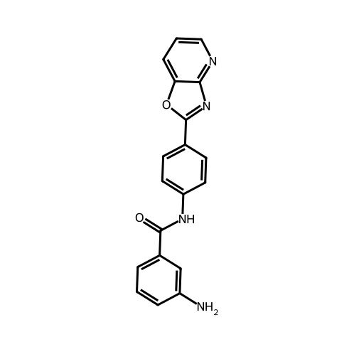 Nc1cccc(C(=O)Nc2ccc(-c3nc4ncccc4o3)cc2)c1